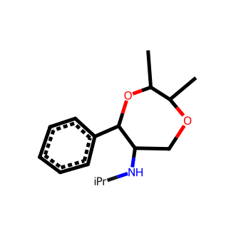 CC(C)NC1COC(C)C(C)OC1c1ccccc1